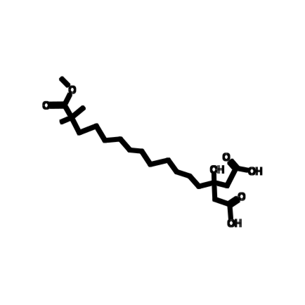 COC(=O)C(C)(C)CCCCCCCCCCCC(O)(CC(=O)O)CC(=O)O